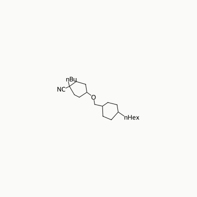 CCCCCCC1CCC(COC2CCC(C#N)(CCCC)CC2)CC1